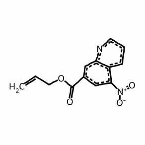 C=CCOC(=O)c1cc([N+](=O)[O-])c2cccnc2c1